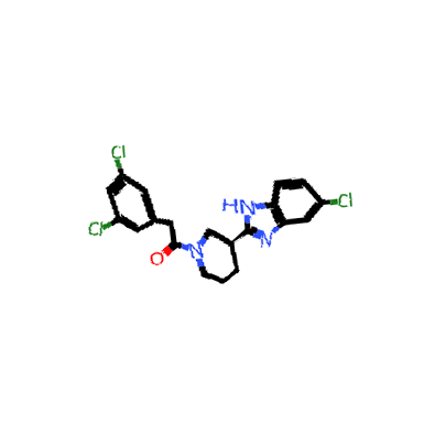 O=C(Cc1cc(Cl)cc(Cl)c1)N1CCC[C@H](c2nc3cc(Cl)ccc3[nH]2)C1